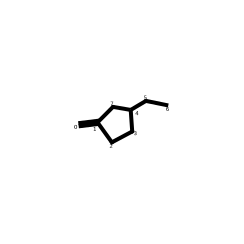 C=C1CCC(CC)C1